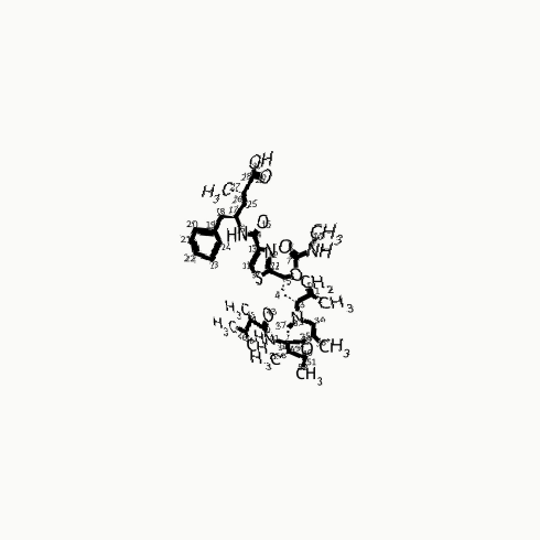 C=C(C)[C@@H](C[C@@H](OC(=O)NC)c1nc(C(=O)N[C@@H](Cc2ccccc2)C[C@H](C)C(=O)O)cs1)N(CCC)C[C@@](C=O)(NC(=O)[C@H](C)C(C)C)[C@@H](C)CC